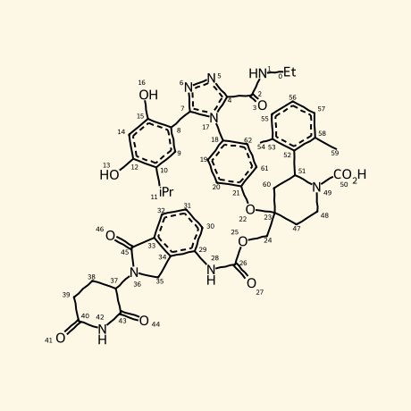 CCNC(=O)c1nnc(-c2cc(C(C)C)c(O)cc2O)n1-c1ccc(OC2(COC(=O)Nc3cccc4c3CN(C3CCC(=O)NC3=O)C4=O)CCN(C(=O)O)C(c3c(C)cccc3C)C2)cc1